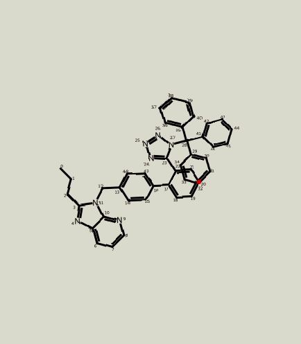 CCCc1nc2cccnc2n1Cc1ccc(-c2ccccc2-c2nnnn2C(c2ccccc2)(c2ccccc2)c2ccccc2)cc1